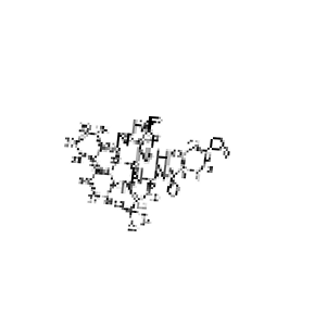 COc1ccc(C(=O)Nc2cc(C(C)(C)C)nn2-c2nc(C(F)(F)F)nc(-c3ccccc3)c2-c2ccccc2)cc1